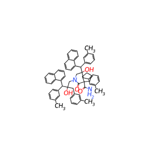 Cc1cccc(CC(O)(CN(CC(O)(Cc2cccc(C)c2)C(c2cccc(C)c2)c2cccc3ccccc23)C(=O)C2(C(N)=O)CCCC2)C(c2cccc(C)c2)c2cccc3ccccc23)c1